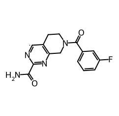 NC(=O)c1n[c]c2c(n1)CN(C(=O)c1cccc(F)c1)CC2